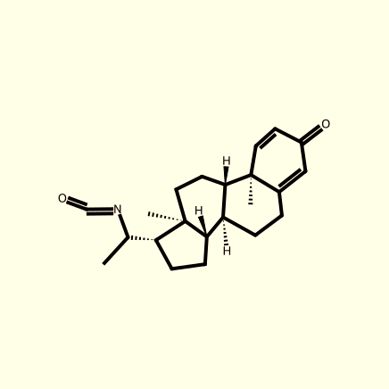 CC(N=C=O)[C@H]1CC[C@H]2[C@@H]3CCC4=CC(=O)C=C[C@]4(C)[C@H]3CC[C@]12C